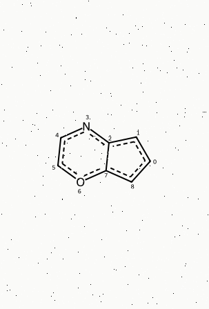 c1cc2nccoc-2c1